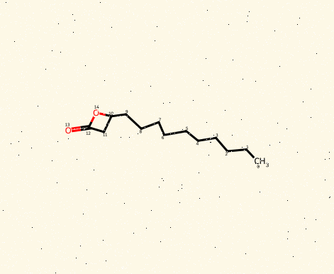 CCCCCCCCCCC1CC(=O)O1